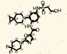 O=C(Nc1ccc(NS(=O)(=O)CCO)cc1N1CCC2(CC1)CC2)c1cnc(N2CCC(F)(F)CC2)o1